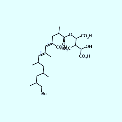 CCC(C)CC(C)CC(C)CC(C)/C=C(C)/C=C(/CC(C)C(=O)OC(C(=O)O)C(C(=O)O)C(O)C(=O)O)C(=O)O